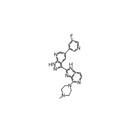 CN1CCN(c2nccc3[nH]c(-c4n[nH]c5ncc(-c6cncc(F)c6)cc45)nc23)CC1